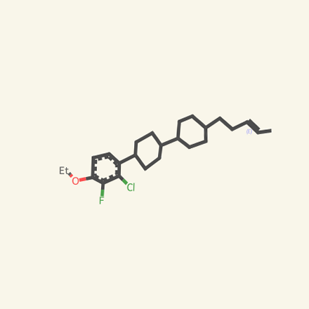 C/C=C/CCC1CCC(C2CCC(c3ccc(OCC)c(F)c3Cl)CC2)CC1